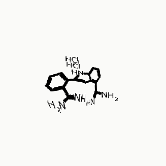 Cl.Cl.N=C(N)c1ccccc1-c1cc2c(C(=N)N)cccc2[nH]1